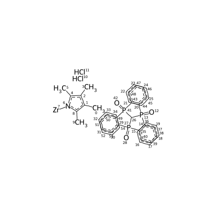 Cc1c(C)c(C)[n]([Zr])c1C.Cl.Cl.O=P(c1ccccc1)(c1ccccc1)C(P(=O)(c1ccccc1)c1ccccc1)P(=O)(c1ccccc1)c1ccccc1